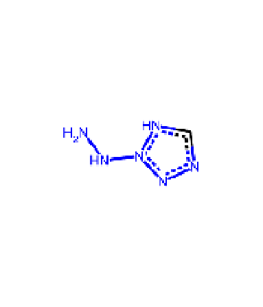 NN[n+]1nnc[nH]1